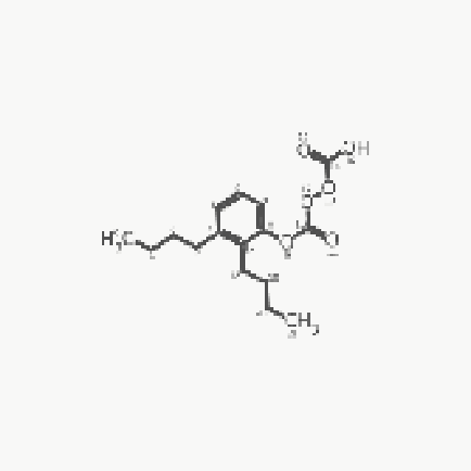 CCCCc1cccc(OC(=O)OOC(=O)O)c1CCCC